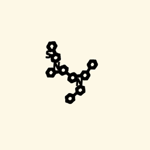 c1ccc(-c2cccc(-n3c4ccc(-c5ccccc5)cc4c4cc(-c5ccc6c(c5)c5ccccc5n6-c5ccc6c(c5)sc5ccccc56)ccc43)c2)cc1